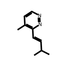 Cc1ccnnc1/C=C/C(C)C